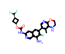 Cc1c(-c2cc3cc(NC(=O)O[C@H]4C[C@H](C(F)F)C4)ncc3c(N)c2F)cnc2c1NCCO2